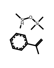 C=C(C)c1ccccc1.C[SiH](C)O[Si](C)(C)C